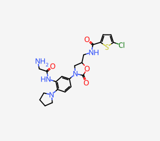 NCC(=O)Nc1cc(N2CC(CNC(=O)c3ccc(Cl)s3)OC2=O)ccc1N1CCCC1